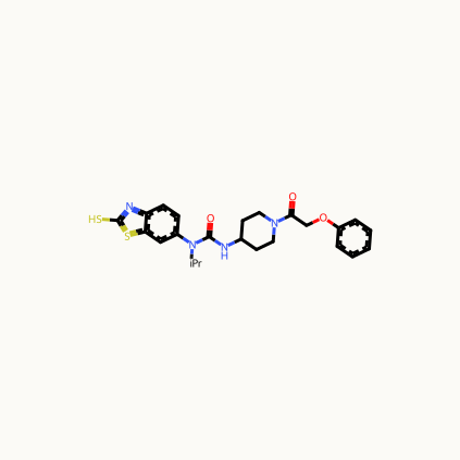 CC(C)N(C(=O)NC1CCN(C(=O)COc2ccccc2)CC1)c1ccc2nc(S)sc2c1